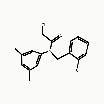 Cc1cc(C)cc(N(Cc2ccccc2Cl)C(=O)CCl)c1